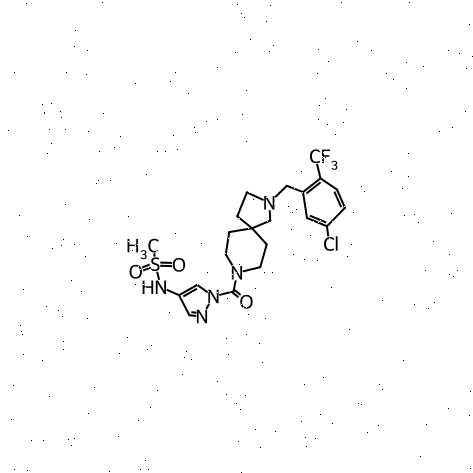 CS(=O)(=O)Nc1cnn(C(=O)N2CCC3(CCN(Cc4cc(Cl)ccc4C(F)(F)F)C3)CC2)c1